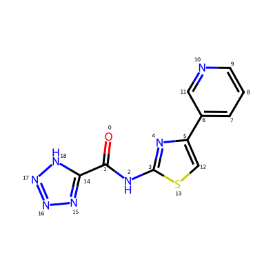 O=C(Nc1nc(-c2cccnc2)cs1)c1nnn[nH]1